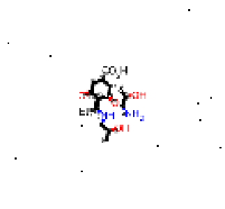 CC(O)CN.CCC(NCC(C)O)=C1C(=O)CC(C(=O)O)CC1=O